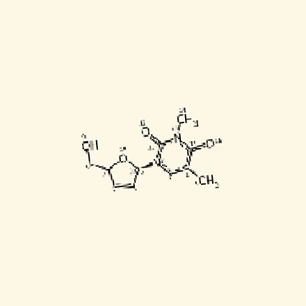 Cc1cn([C@H]2C=CC(CO)O2)c(=O)n(C)c1=O